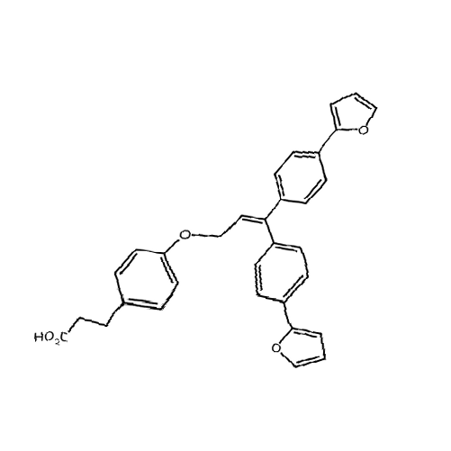 O=C(O)CCc1ccc(OCC=C(c2ccc(-c3ccco3)cc2)c2ccc(-c3ccco3)cc2)cc1